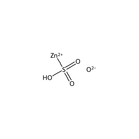 O=[S](=O)(O)[Zn+2].[O-2]